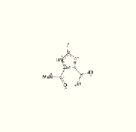 CCC(CC)c1cc(C)[nH]c1C(=O)NC